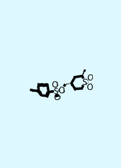 Cc1ccc(S(=O)(=O)OC[C@H]2CCS(=O)(=O)[C@H](C)C2)cc1